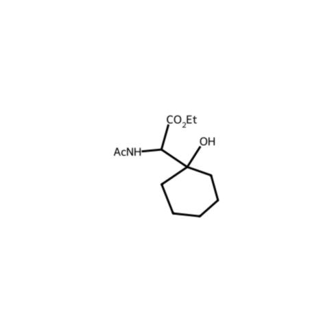 CCOC(=O)C(NC(C)=O)C1(O)CCCCC1